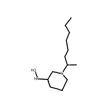 CCCCCCC(C)N1CCCC(NO)C1